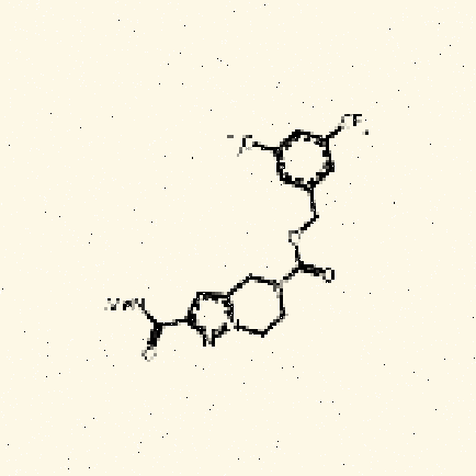 CNC(=O)c1cc2n(n1)CCN(C(=O)OCc1cc(C(F)(F)F)cc(C(F)(F)F)c1)C2